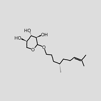 CC(C)=CCC[C@H](C)CCCOC1OC[C@@H](O)[C@H](O)[C@H]1O